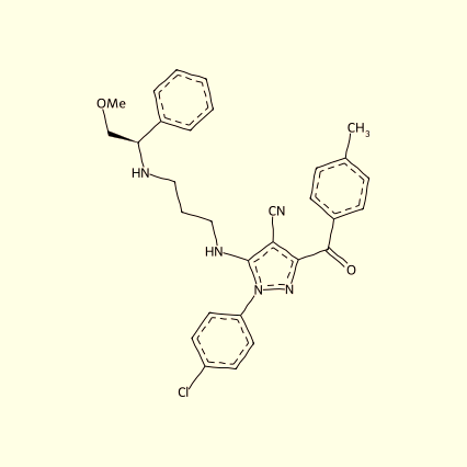 COC[C@H](NCCCNc1c(C#N)c(C(=O)c2ccc(C)cc2)nn1-c1ccc(Cl)cc1)c1ccccc1